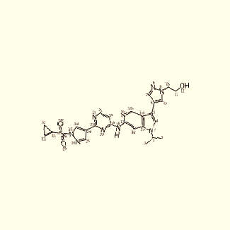 CC(C)n1cc(-c2cnn(CCO)c2)c2cnc(Nc3ccnc(-c4cnn(S(=O)(=O)C5CC5)c4)n3)cc21